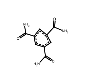 NC(=O)c1cc(C(N)=O)cc(C(N)=O)c1